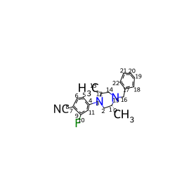 C[C@@H]1CN(c2ccc(C#N)c(F)c2)[C@H](C)CN1Cc1ccccc1